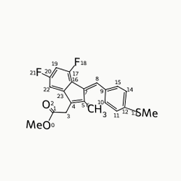 COC(=O)CC1=C(C)/C(=C\c2ccc(SC)cc2)c2c(F)cc(F)cc21